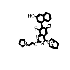 Oc1cc(-c2c(Cl)cc3c(N4CC5CCC(C4)N5)nc(OCCN4CCCC4)nc3c2F)c2ccccc2c1